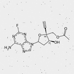 C#C[C@]1(COC(C)=O)OC(n2cnc3c(N)nc(F)nc32)C[C@@H]1O